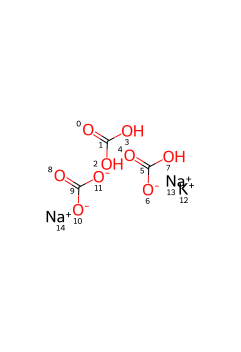 O=C(O)O.O=C([O-])O.O=C([O-])[O-].[K+].[Na+].[Na+]